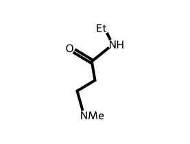 CCNC(=O)CCNC